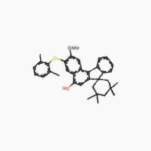 COc1cc2c3c(cc(O)c2cc1Sc1c(C)cccc1C)C1(CC(C)(C)CC(C)(C)C1)c1ccccc1-3